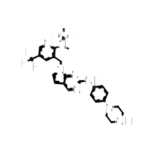 CN(c1ncc(C(F)(F)F)cc1Cn1ccc2cnc(Nc3ccc(N4CCNCC4)cc3)nc21)S(C)(=O)=O